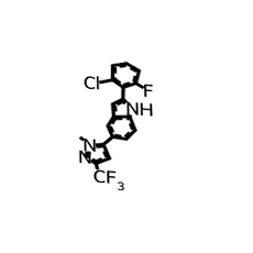 Cn1nc(C(F)(F)F)cc1-c1ccc2[nH]c(-c3c(F)cccc3Cl)cc2c1